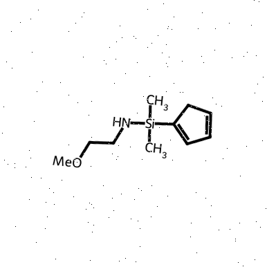 COCCN[Si](C)(C)C1=CC=CC1